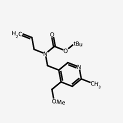 C=CCN(Cc1cnc(C)cc1COC)C(=O)OC(C)(C)C